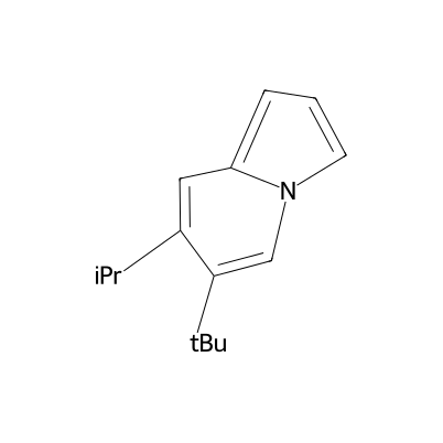 CC(C)c1cc2cccn2cc1C(C)(C)C